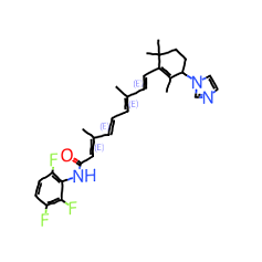 CC1=C(/C=C/C(C)=C/C=C/C(C)=C/C(=O)Nc2c(F)ccc(F)c2F)C(C)(C)CCC1n1ccnc1